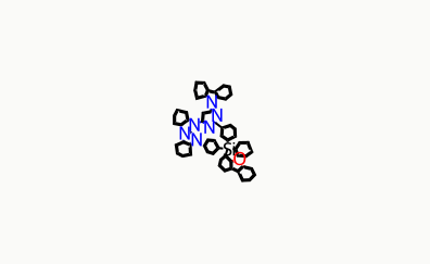 c1ccc([Si](c2ccccc2)(c2cccc(-c3nc(-n4c5ccccc5c5ccccc54)cc(-n4c5ccccc5n5c6ccccc6nc45)n3)c2)c2cccc3c2oc2ccccc23)cc1